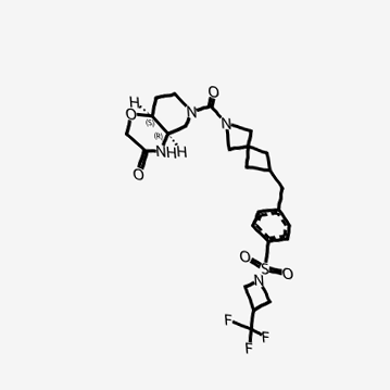 O=C1CO[C@H]2CCN(C(=O)N3CC4(CC(Cc5ccc(S(=O)(=O)N6CC(C(F)(F)F)C6)cc5)C4)C3)C[C@H]2N1